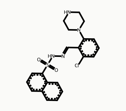 O=S(=O)(N/N=C/c1c(Cl)cccc1N1CCNCC1)c1cccc2ccccc12